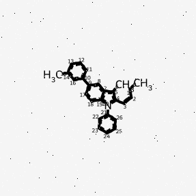 CC/C=C\c1c(C)c2cc(-c3cccc(C)c3)ccc2n1-c1ccccc1